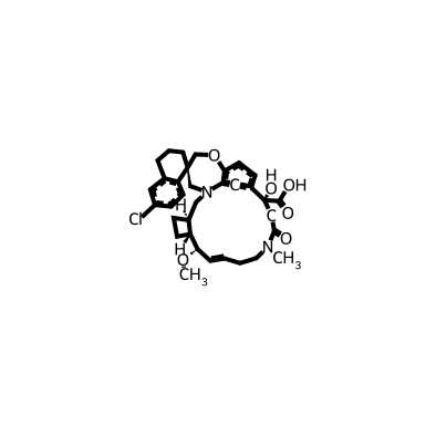 CO[C@H]1/C=C/CCN(C)C(=O)C[C@@](O)(C(=O)O)c2ccc3c(c2)N(C[C@@H]2CC[C@H]21)C[C@@]1(CCCc2cc(Cl)ccc21)CO3